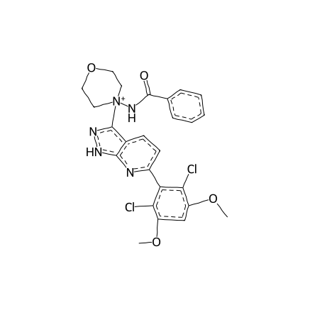 COc1cc(OC)c(Cl)c(-c2ccc3c([N+]4(NC(=O)c5ccccc5)CCOCC4)n[nH]c3n2)c1Cl